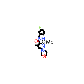 COc1nc(N2CCCOCC2)cc(C)c1C(=O)NCc1cccc(F)c1